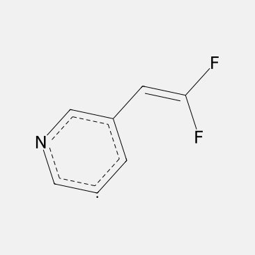 FC(F)=Cc1c[c]cnc1